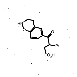 CC(C)C(CC(=O)O)C(=O)c1ccc2c(c1)CCNO2